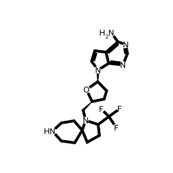 Nc1ncnc2c1ccn2[C@H]1CC[C@@H](CN2C(C(F)(F)F)CCC23CCNCC3)O1